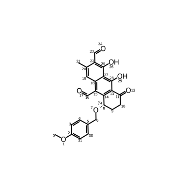 COc1ccc(CO[C@H]2CCC(=O)c3c2c(C=O)c2cc(C)c(C=O)c(O)c2c3O)cc1